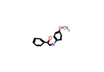 COc1ccc(/N=C\C(=O)c2ccccc2)cc1